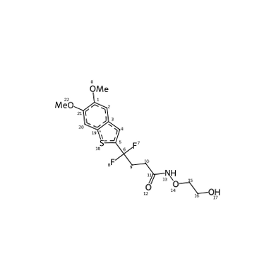 COc1cc2cc(C(F)(F)CCC(=O)NOCCO)sc2cc1OC